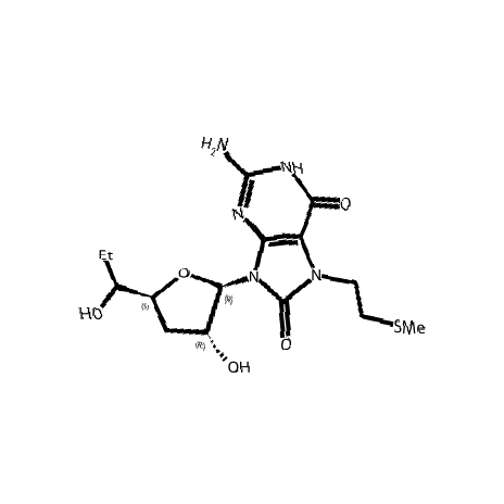 CCC(O)[C@@H]1C[C@@H](O)[C@H](n2c(=O)n(CCSC)c3c(=O)[nH]c(N)nc32)O1